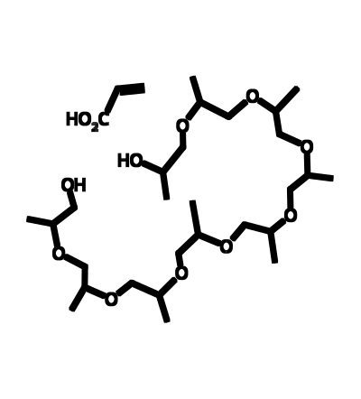 C=CC(=O)O.CC(O)COC(C)COC(C)COC(C)COC(C)COC(C)COC(C)COC(C)COC(C)CO